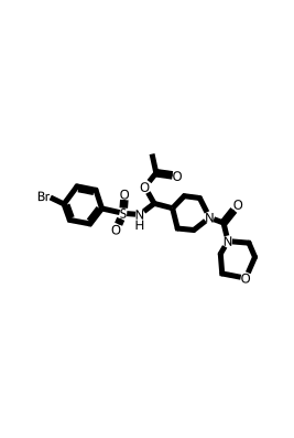 CC(=O)OC(NS(=O)(=O)c1ccc(Br)cc1)C1CCN(C(=O)N2CCOCC2)CC1